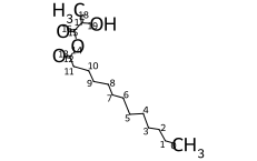 CCCCCCCCCCCCC(=O)OC(=O)C(C)O